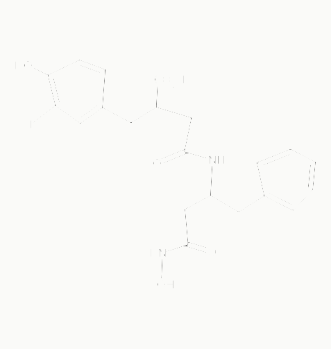 O=C(CC(Cc1ccccc1)NC(=O)CC(Cc1ccc(O)c(I)c1)C(=O)O)NO